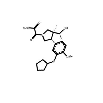 COC(=O)C(=O)N1C[C@@H](c2ccc(OC)c(OC3CCCC3)c2)[C@](C)([C@@H](C)O)C1